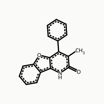 Cc1c(-c2ccccc2)c2oc3ccccc3c2[nH]c1=O